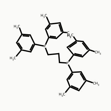 Cc1cc(C)cc(P(CCCP(c2cc(C)cc(C)c2)c2cc(C)cc(C)c2)c2cc(C)cc(C)c2)c1